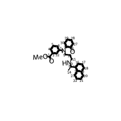 COC(=O)c1cccc(N2CC(CN[C@H](C)c3cccc4ccccc34)Oc3ccccc32)c1